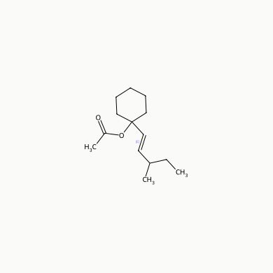 CCC(C)/C=C/C1(OC(C)=O)CCCCC1